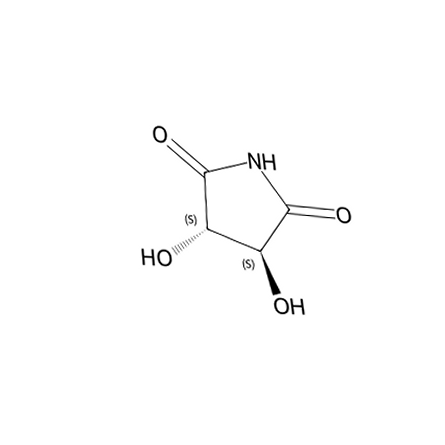 O=C1NC(=O)[C@@H](O)[C@@H]1O